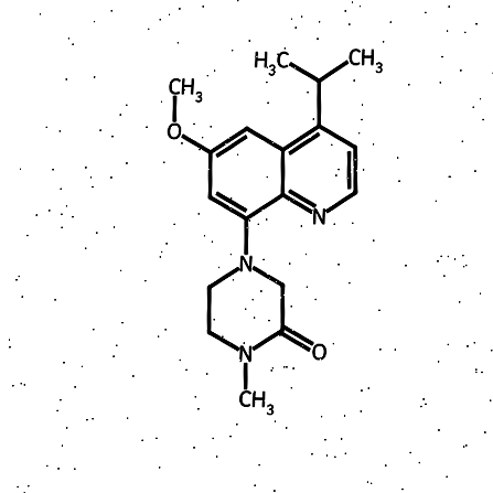 COc1cc(N2CCN(C)C(=O)C2)c2nccc(C(C)C)c2c1